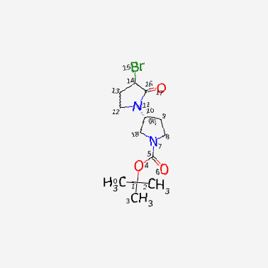 CC(C)(C)OC(=O)N1CC[C@@H](N2CCC(Br)C2=O)C1